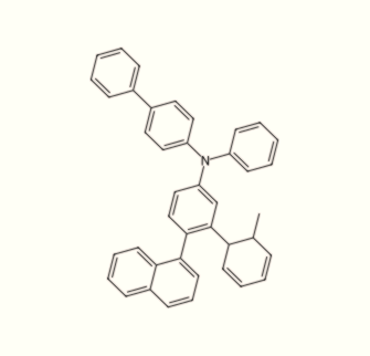 CC1C=CC=CC1c1cc(N(c2ccccc2)c2ccc(-c3ccccc3)cc2)ccc1-c1cccc2ccccc12